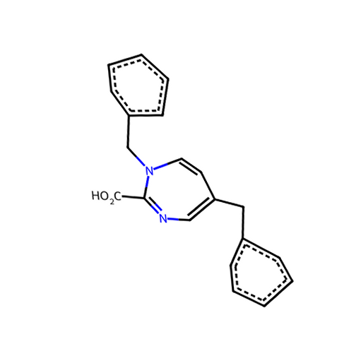 O=C(O)C1=NC=C(Cc2ccccc2)C=CN1Cc1ccccc1